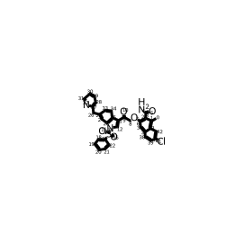 Cc1c(C(N)=O)c(OCC(=O)c2cn(S(=O)(=O)c3ccccc3)c3cc(Cc4ccccn4)ccc23)cc2ccc(Cl)cc12